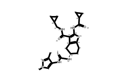 Cc1nn(C)cc1NC(=S)N[C@H]1CCc2sc(NC(=O)C3CC3)c(C(=O)NCC3CC3)c2C1